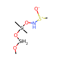 CO[SiH2]O[Si](C)(C)ON[S+](C)[O-]